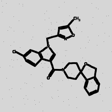 Cc1cc(Cn2cc(C(=O)N3CCC4(CC3)OCc3ccccc34)c3ccc(Cl)cc32)no1